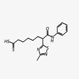 Cc1nsc(C(CCCCCC(=S)S)C(=O)Nc2ccccc2)n1